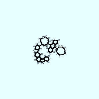 C1=C\C/C=C\C=C(\c2c3ccccc3c(-c3ccccccc(-c4ccc5sc6cc7ccc8sc9ccccc9c8c7cc6c5c4)cc3)c3ccccc23)C\C=C/1